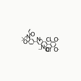 C=CC(=O)N1CC(C)(C)Oc2ccc(-c3cc4c(cn3)cc(-c3c(Cl)c(OC)cc(OC)c3Cl)c(=O)n4CC)cc21